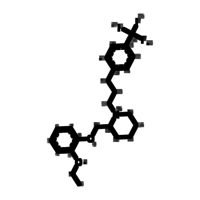 CCOc1ccccc1OCC1CCCCN1CCCc1ccc(C(F)(F)F)cc1